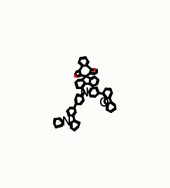 c1ccc(-n2c3ccccc3c3cc(-c4ccc(N(c5ccc(-c6cccc7c6oc6ccccc67)cc5)c5cccc6c5-c5ccccc5C65c6ccccc6-c6ccccc6-c6ccccc65)cc4)ccc32)cc1